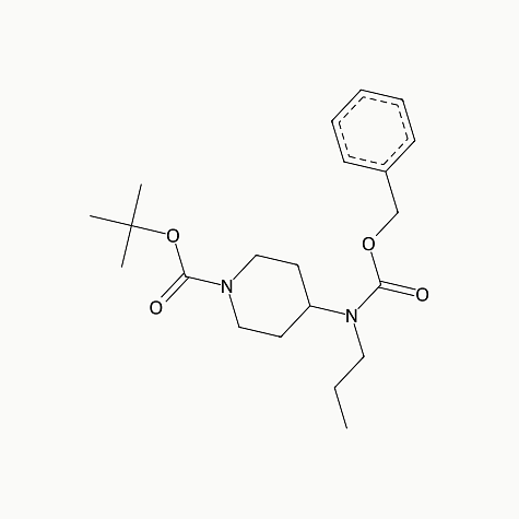 CCCN(C(=O)OCc1ccccc1)C1CCN(C(=O)OC(C)(C)C)CC1